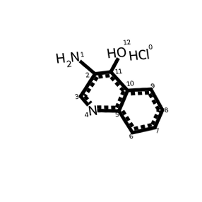 Cl.Nc1cnc2ccccc2c1O